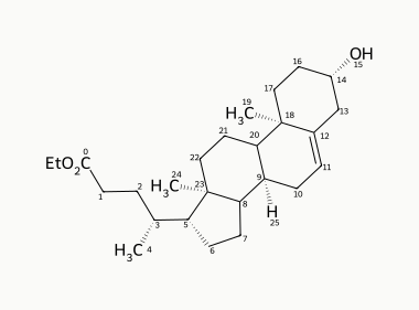 CCOC(=O)CC[C@@H](C)[C@H]1CCC2[C@@H]3CC=C4C[C@@H](O)CC[C@]4(C)C3CC[C@@]21C